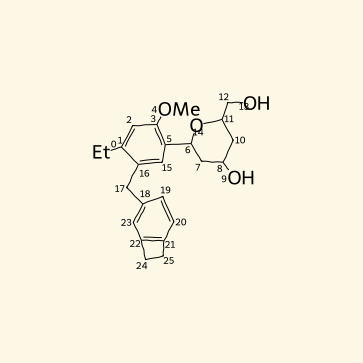 CCc1cc(OC)c(C2CC(O)CC(CO)O2)cc1Cc1ccc2c(c1)CC2